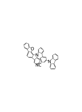 N#Cc1cc(-c2ccccc2-n2c3ccccc3c3ccc4c5ccccc5oc4c32)cc(-n2c3ccccc3c3ccccc32)c1